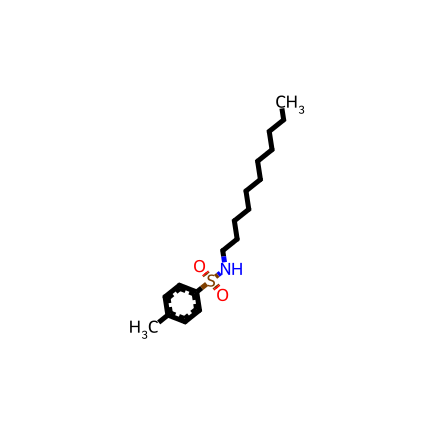 CCCCCCCCCCCNS(=O)(=O)c1ccc(C)cc1